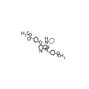 COC(=O)c1ccc(Oc2ccnc3c2c(NC2CCCCC2)nn3Cc2ccc(OC)cc2)cc1